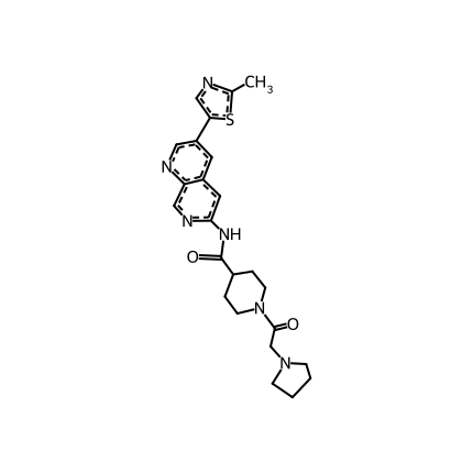 Cc1ncc(-c2cnc3cnc(NC(=O)C4CCN(C(=O)CN5CCCC5)CC4)cc3c2)s1